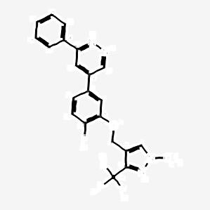 Cn1cc(COc2cc(-c3cnnc(-c4ccccc4)c3)ccc2F)c(C(F)(F)F)n1